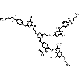 NC(=O)Nc1cc(Nc2nc(SCCNc3nc(Cl)nc(Nc4ccc(S(=O)(=O)CCOS(=O)(=O)O)cc4)n3)nc(SCCNc3nc(Cl)nc(Nc4ccc(S(=O)(=O)CCOS(=O)(=O)O)cc4)n3)n2)ccc1/N=N/c1cc2c(S(=O)(=O)O)cc(SOOO)cc2cc1S(=O)(=O)O